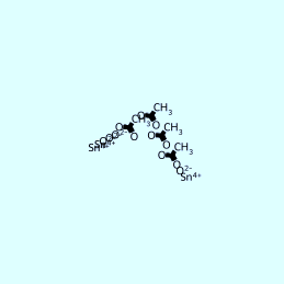 CC(=O)[O-].CC(=O)[O-].CC(=O)[O-].CC(=O)[O-].[O-2].[O-2].[O-2].[O-2].[Sn+4].[Sn+4].[Sn+4]